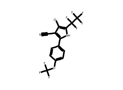 N#Cc1c(-c2ccc(OC(F)(F)F)cc2)[nH]c(C(F)(F)C(F)(F)F)c1Cl